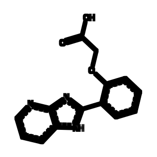 O=C(O)COc1ccccc1-c1nc2ncccc2[nH]1